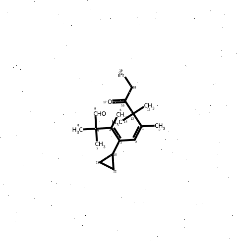 CC(=CC(=C(C)C(C)(C)C=O)C1CC1)C(C)(C)C(=O)CC(C)C